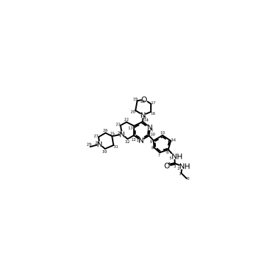 CCNC(=O)Nc1ccc(-c2nc3c(c(N4CCOCC4)n2)CCN(C2CCN(C)CC2)C3)cc1